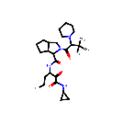 CCCC(NC(=O)C1C2CCCC2CN1C(=O)C(N1CCCCC1)C(C)(C)C)C(=O)C(=O)NC1CC1